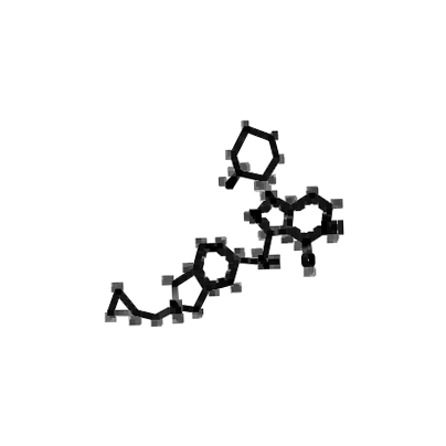 C[C@H]1CCCC[C@@H]1n1nc(Nc2ccc3c(c2)CN(CC2CC2)C3)c2c(=O)[nH]ccc21